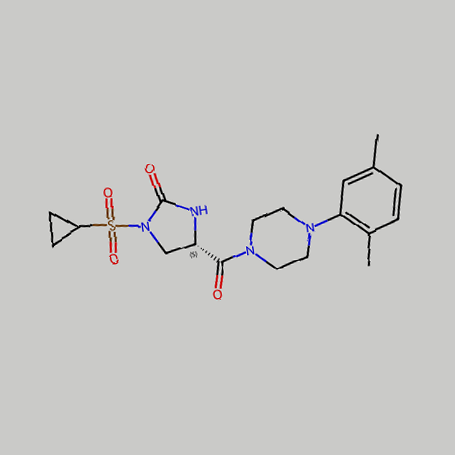 Cc1ccc(C)c(N2CCN(C(=O)[C@@H]3CN(S(=O)(=O)C4CC4)C(=O)N3)CC2)c1